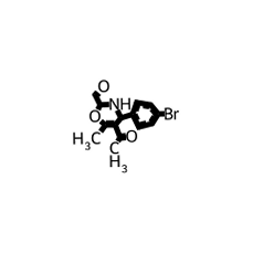 CC(=O)C1=C(C)OC(C=O)NC1c1ccc(Br)cc1